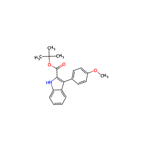 COc1ccc(-c2c(C(=O)OC(C)(C)C)[nH]c3ccccc23)cc1